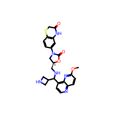 COc1ccc2nccc(C(NC[C@H]3CN(c4ccc5c(c4)NC(=O)CS5)C(=O)O3)C3CNC3)c2n1